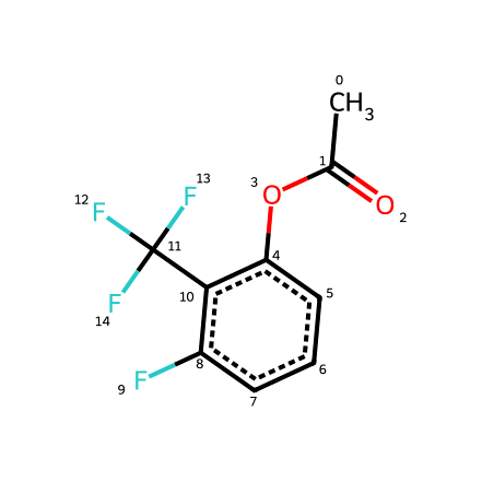 CC(=O)Oc1cccc(F)c1C(F)(F)F